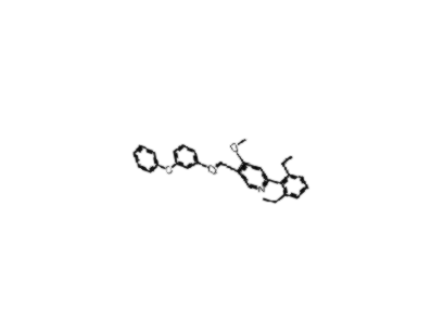 CCc1cccc(CC)c1-c1cc(OC)c(COc2cccc(Oc3ccccc3)c2)cn1